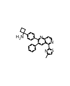 Cc1csc(-c2nccc3nc(-c4ccc(C5(N)CCC5)cc4)c(-c4ccccc4)cc23)n1